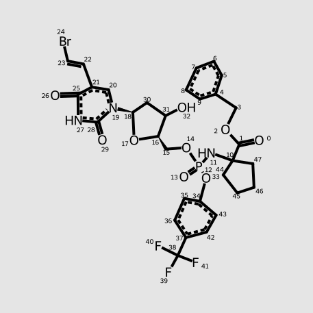 O=C(OCc1ccccc1)C1(NP(=O)(OC[C@H]2O[C@@H](n3cc(/C=C/Br)c(=O)[nH]c3=O)CC2O)Oc2ccc(C(F)(F)F)cc2)CCCC1